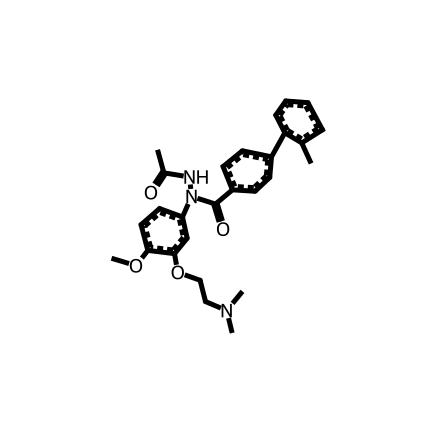 COc1ccc(N(NC(C)=O)C(=O)c2ccc(-c3ccccc3C)cc2)cc1OCCN(C)C